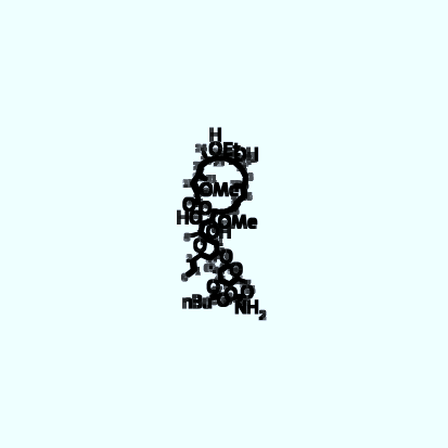 C/C=C/[C@H]1O[C@@](O)([C@@H](C)[C@H](O)[C@H](C)[C@H]2OC(=O)/C(OC)=C/C(C)=C/[C@@H](C)[C@@H](O)[C@@H](CC)[C@@H](O)[C@H](C)C/C(C)=C/C=C/[C@@H]2OC)C[C@@H](O[C@@H]2C[C@H](OC(=O)CCCC)[C@@H](OC(N)=O)[C@H](C)O2)[C@@H]1C